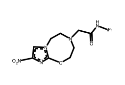 CC(C)NC(=O)CN1CCOc2nc([N+](=O)[O-])cn2CC1